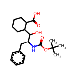 CC(C)(C)OC(=O)N[C@@H](Cc1ccccc1)C(O)C1CCCCC1C(=O)O